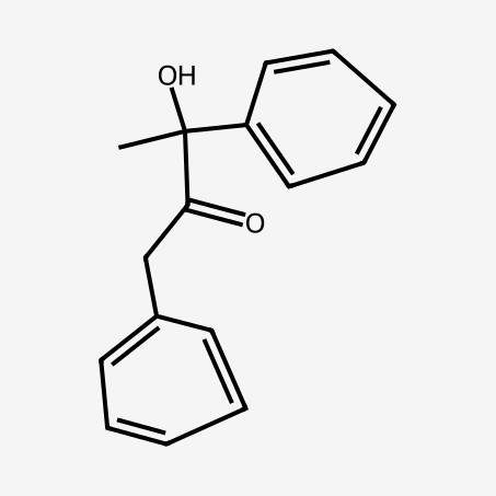 CC(O)(C(=O)Cc1ccccc1)c1ccccc1